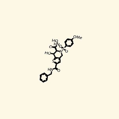 COc1ccc(S(=O)(=O)N2Cc3cc(C(=O)NCc4ccccc4)sc3C(O)C2C(=O)NO)cc1